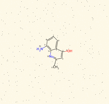 Cc1cc(O)c2cccc(N)c2n1